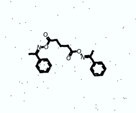 CC(=NOC(=O)CCCC(=O)ON=C(C)c1ccccc1)c1ccccc1